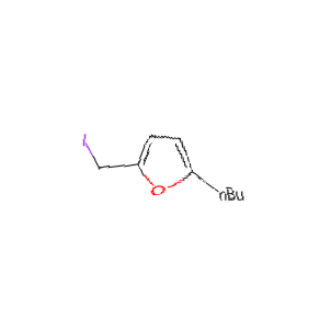 CCCCc1ccc(CI)o1